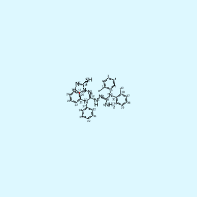 Cc1ccccc1N(C(N)=NNC(=NN1CCN=C1S)N(c1ccccc1)c1ccccc1)c1ccccc1C